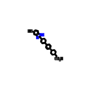 N#Cc1ccc2[nH]c(C3=CC=C(c4ccc(C5CCC(CC(=O)O)CC5)cc4)CC3)nc2c1